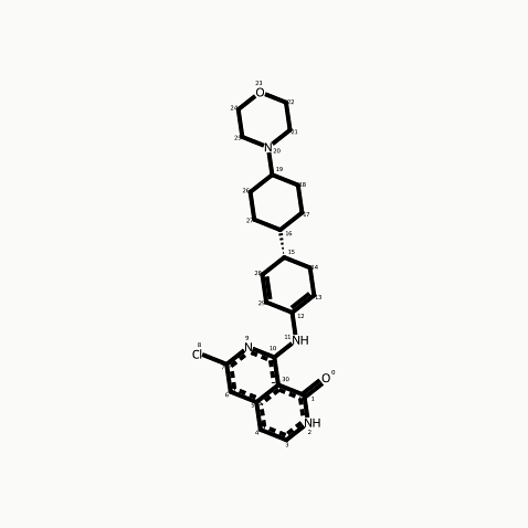 O=c1[nH]ccc2cc(Cl)nc(NC3=CC[C@@H](C4CCC(N5CCOCC5)CC4)C=C3)c12